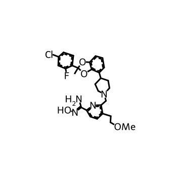 COCCc1ccc(C(N)=NO)nc1CN1CCC(c2cccc3c2OC(C)(c2ccc(Cl)cc2F)O3)CC1